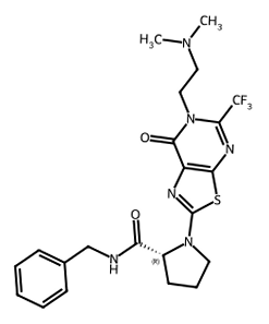 CN(C)CCn1c(C(F)(F)F)nc2sc(N3CCC[C@@H]3C(=O)NCc3ccccc3)nc2c1=O